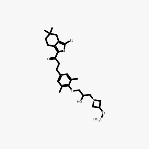 CCc1sc(C(=O)CCc2cc(C)c(OCC(O)CN3CC(OC(=O)O)C3)c(C)c2)c2c1CC(C)(C)CC2